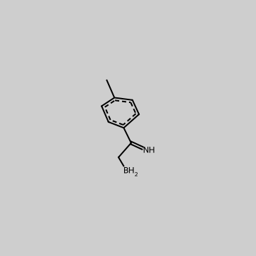 BCC(=N)c1ccc(C)cc1